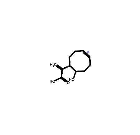 C=C(C(=O)O)C1CC/C=C\CCC1O